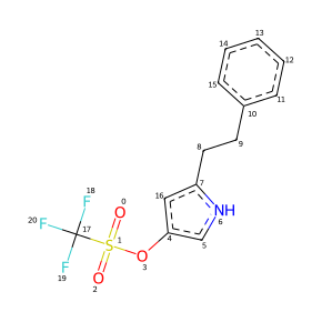 O=S(=O)(Oc1c[nH]c(CCc2ccccc2)c1)C(F)(F)F